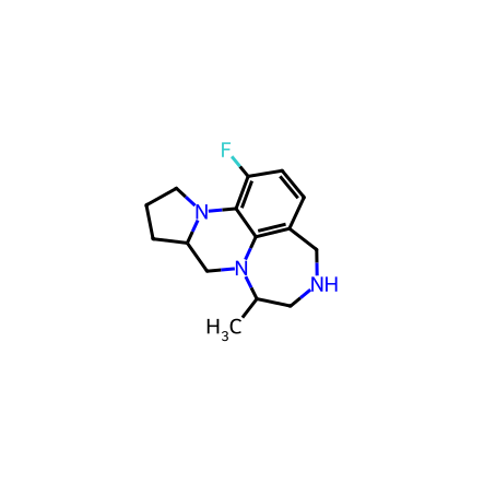 CC1CNCc2ccc(F)c3c2N1CC1CCCN31